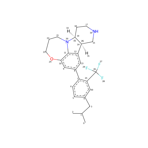 CC(C)Cc1ccc(-c2cc3c4c(c2)[C@@H]2CNCC[C@@H]2N4CCCO3)c(C(F)(F)F)c1